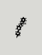 Fc1cnc(N2CCC(OC3(Br)Nc4ccccc4S3)CC2)nc1